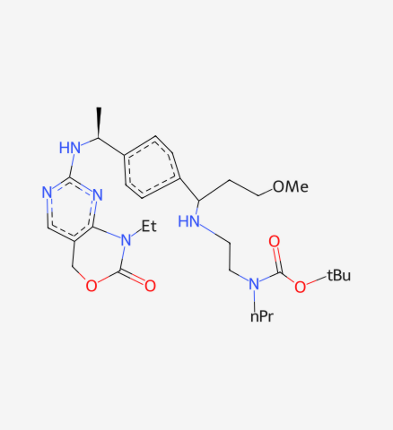 CCCN(CCNC(CCOC)c1ccc([C@H](C)Nc2ncc3c(n2)N(CC)C(=O)OC3)cc1)C(=O)OC(C)(C)C